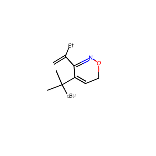 C=C(CC)C1=NOCC=C1C(C)(C)C(C)(C)C